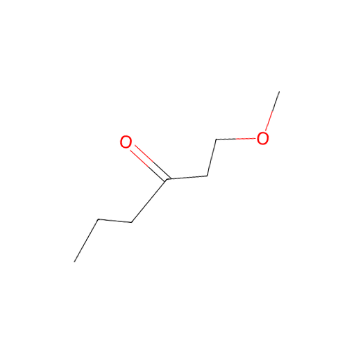 CCCC(=O)CCOC